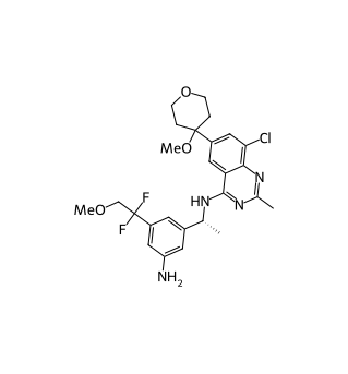 COCC(F)(F)c1cc(N)cc([C@@H](C)Nc2nc(C)nc3c(Cl)cc(C4(OC)CCOCC4)cc23)c1